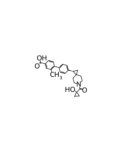 Cc1cc(C(=O)O)ccc1-c1ccc([C@H]2CC23CCN(C(=O)C2(O)CC2)CC3)cc1